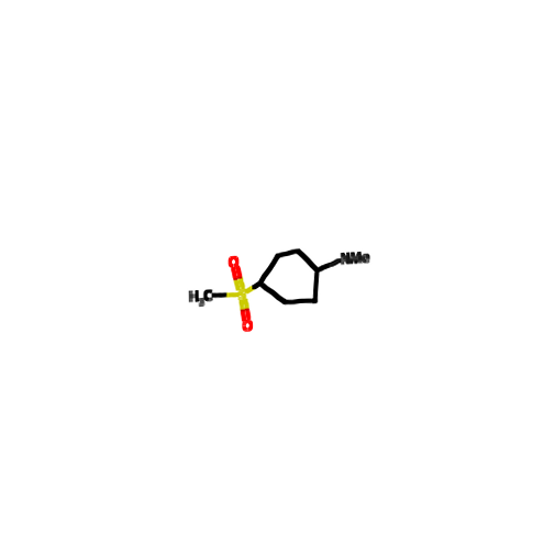 CNC1CCC(S(C)(=O)=O)CC1